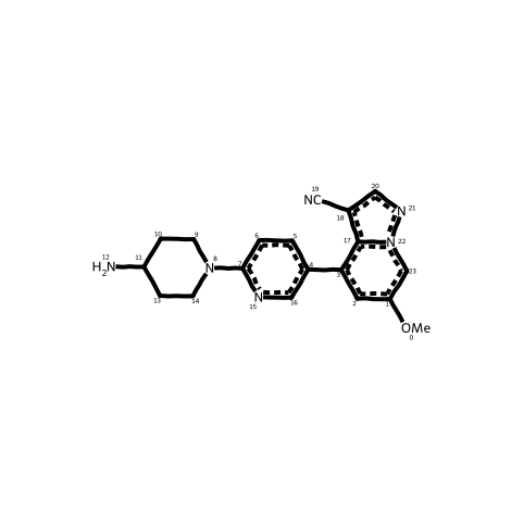 COc1cc(-c2ccc(N3CCC(N)CC3)nc2)c2c(C#N)cnn2c1